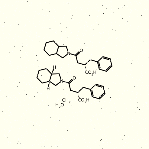 O.O.O=C(O)[C@H](CC(=O)N1CC2CCCCC2C1)Cc1ccccc1.O=C(O)[C@H](CC(=O)N1C[C@H]2CCCC[C@H]2C1)Cc1ccccc1